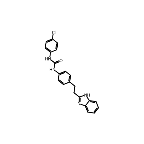 O=C(Nc1ccc(Cl)cc1)Nc1ccc(CCc2nc3ccccc3[nH]2)cc1